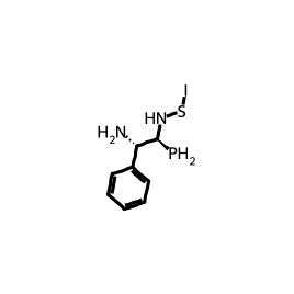 N[C@@H](c1ccccc1)[C@H](P)NSI